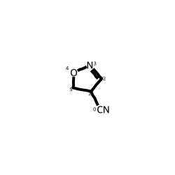 N#CC1[C]=NOC1